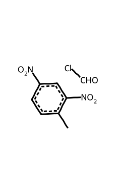 Cc1ccc([N+](=O)[O-])cc1[N+](=O)[O-].O=CCl